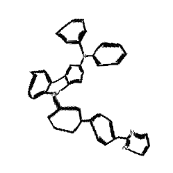 c1ccc(N(c2ccccc2)c2ccc3c(c2)c2ccccc2n3C2CCCC(c3ccc(-c4ncccn4)cc3)C2)cc1